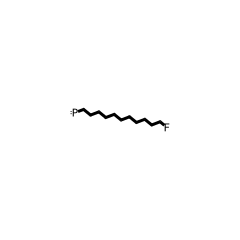 FCCCCCCCCCCC[P]